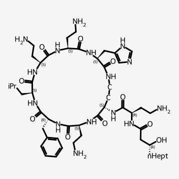 CCCCCCC[C@@H](O)CC(=O)N[C@H](CCN)C(=O)N[C@H]1CCNC(=O)[C@H](Cc2cnc[nH]2)NC(=O)[C@H](CCN)NC(=O)[C@H](CCN)NC(=O)[C@H](CC(C)C)NC(=O)[C@@H](Cc2ccccc2)NC(=O)[C@H](CCN)NC1=O